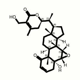 CC1=C(CO)C(=O)O[C@@H]([C@@H](C)[C@H]2CC[C@H]3[C@@H]4[C@@H]5O[C@@H]5[C@@]5(O)CC=CC(=O)[C@]5(C)[C@H]4CC[C@]23C)C1